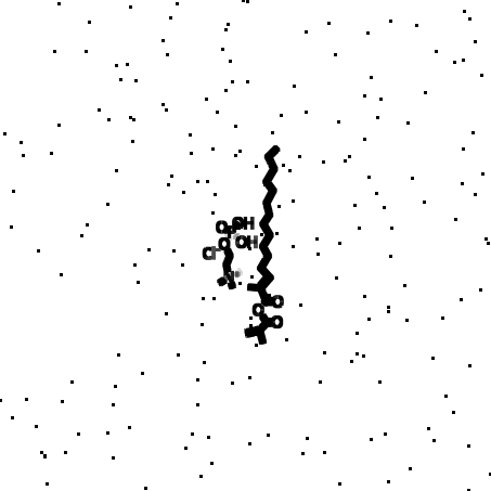 C=C(C)C(=O)OC(=O)/C(C)=C/CCCCCCCCCCCC.C[N+](C)(C)CCOP(=O)(O)O.[Cl-]